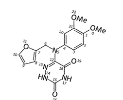 COc1ccc(N(Cc2ccco2)c2n[nH]c(=O)[nH]c2=O)cc1OC